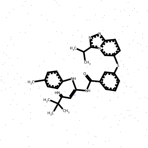 Cc1ccc(N/C(=C\C(=N)C(C)(C)C)NC(=O)c2cccc(Sc3ccc4nnc(C(C)C)n4c3)c2)cc1